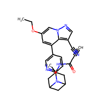 C#CC(=O)NC1(C)CC2CC(C1)N2c1ccc(-c2cc(OCC)cn3ncc(C#N)c23)cn1